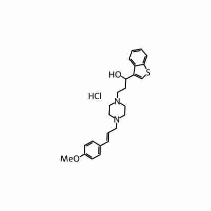 COc1ccc(C=CCN2CCN(CCC(O)c3csc4ccccc34)CC2)cc1.Cl